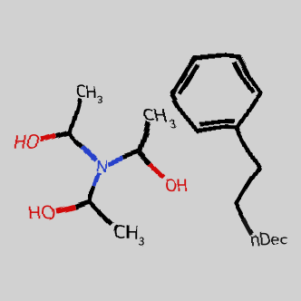 CC(O)N(C(C)O)C(C)O.CCCCCCCCCCCCc1ccccc1